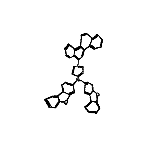 c1ccc2c(c1)ccc1c3ccccc3c(-c3ccc(N(c4ccc5c(c4)oc4ccccc45)c4ccc5oc6ccccc6c5c4)cc3)cc21